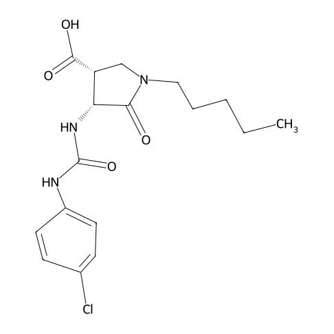 CCCCCN1C[C@@H](C(=O)O)[C@@H](NC(=O)Nc2ccc(Cl)cc2)C1=O